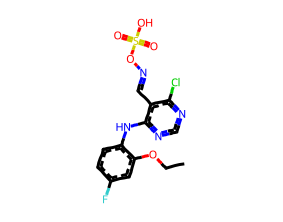 CCOc1cc(F)ccc1Nc1ncnc(Cl)c1C=NOS(=O)(=O)O